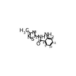 Cc1nsc(NC(=O)c2ccccc2N)n1